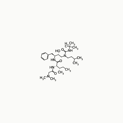 CC[C@H](C)[C@H](NC(=O)CN(C)C)C(=O)N[C@@H](Cc1ccccc1)[C@H](O)CN(CCC(C)C)C(=O)NC(C)(C)C